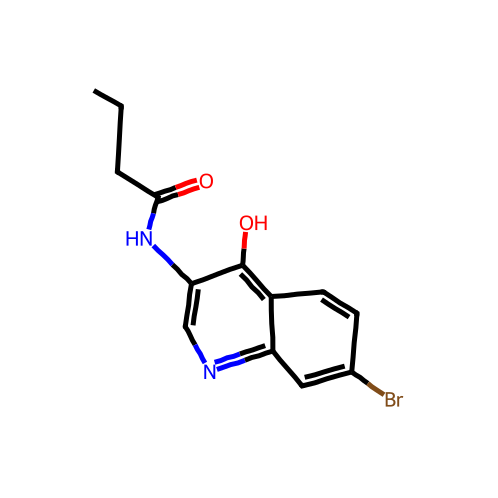 CCCC(=O)Nc1cnc2cc(Br)ccc2c1O